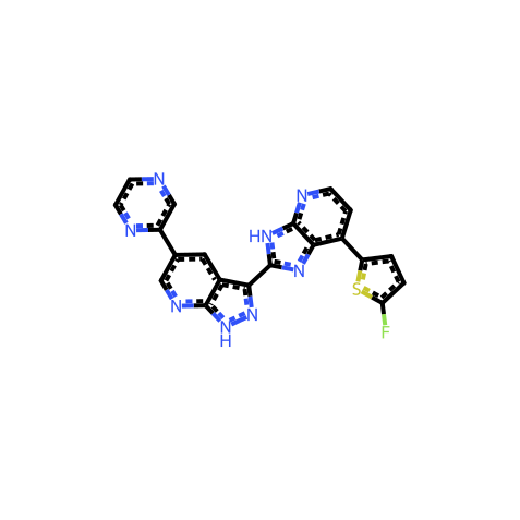 Fc1ccc(-c2ccnc3[nH]c(-c4n[nH]c5ncc(-c6cnccn6)cc45)nc23)s1